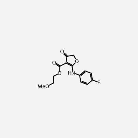 COCCOC(=O)C1=C(Nc2ccc(F)cc2)OCC1=O